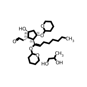 CC(O)CO.CCCCCCC=C(OC1CCCCO1)[C@H]1[C@H](CC=O)[C@H](O)C[C@@H]1OC1CCCCO1